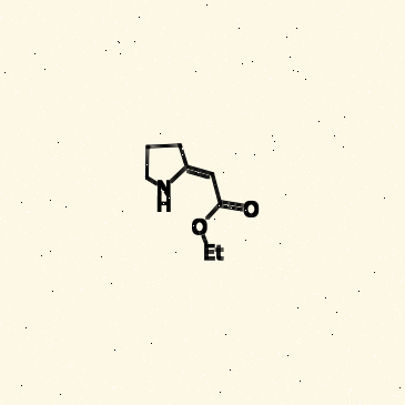 CCOC(=O)C=C1CCCN1